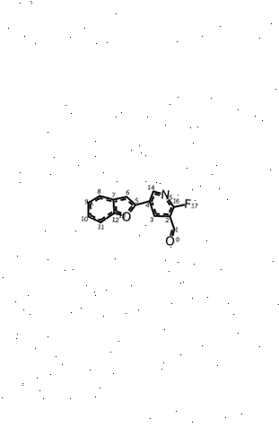 O=Cc1cc(-c2cc3ccccc3o2)cnc1F